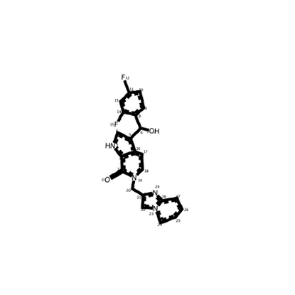 O=c1c2[nH]cc(C(O)c3ccc(F)cc3F)c2ccn1Cc1cn2ccccc2n1